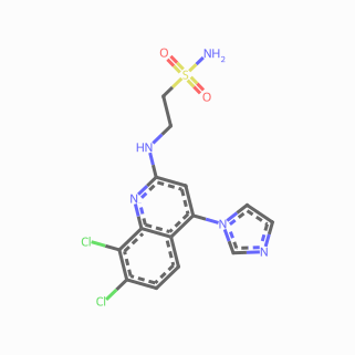 NS(=O)(=O)CCNc1cc(-n2ccnc2)c2ccc(Cl)c(Cl)c2n1